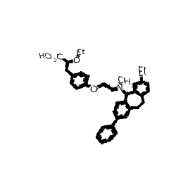 CCOC(Cc1ccc(OCCN(C)C2c3ccc(-c4ccccc4)cc3CCc3ccc(CC)cc32)cc1)C(=O)O